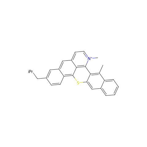 Cc1c2c(cc3ccccc13)Sc1c3ccc(CC(C)C)cc3cc3cc[n+](C)c-2c13